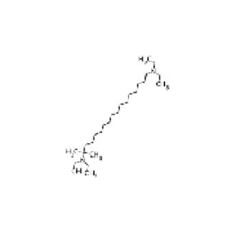 CCN(CC)CCCCCCCCCCCCCCCC(C)(C)N(CC)CC